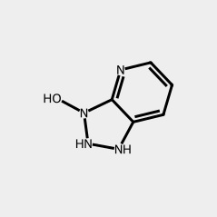 ON1NNc2cccnc21